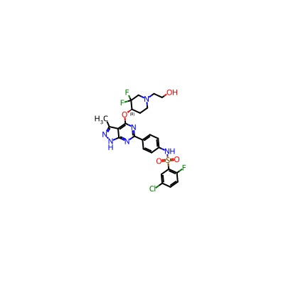 Cc1n[nH]c2nc(-c3ccc(NS(=O)(=O)c4cc(Cl)ccc4F)cc3)nc(O[C@@H]3CCN(CCO)CC3(F)F)c12